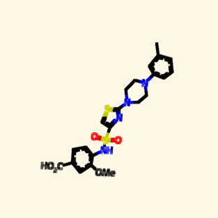 COc1cc(C(=O)O)ccc1NS(=O)(=O)c1csc(N2CCN(c3cccc(C)c3)CC2)n1